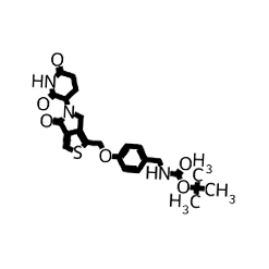 CC(C)(C)OC(=O)NCc1ccc(OCc2scc3c2CN(C2CCC(=O)NC2=O)C3=O)cc1